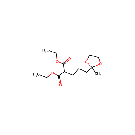 CCOC(=O)C(CCCC1(C)OCCO1)C(=O)OCC